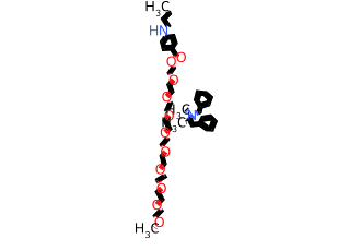 CCCCNc1ccc(C(=O)OCCOCCOCCOCCOCCOCCOCCOCCOCCOC)cc1.C[C@@H](Cc1ccccc1)N(C)Cc1ccccc1